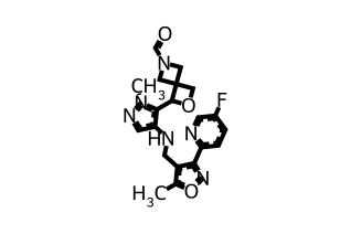 Cc1onc(-c2ccc(F)cn2)c1CNc1cnn(C)c1C1OCC12CN(C=O)C2